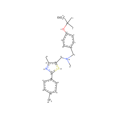 CCOC(=O)C(C)(C)Oc1ccc(CN(C)Cc2sc(-c3ccc(C(F)(F)F)cc3)nc2C)cc1